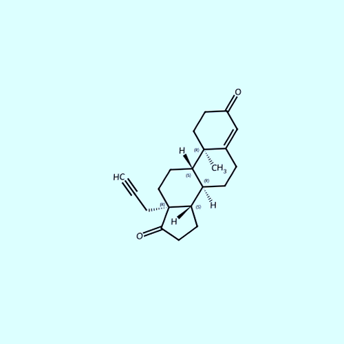 C#CC[C@]12CC[C@H]3[C@@H](CCC4=CC(=O)CC[C@@]43C)[C@@H]1CCC2=O